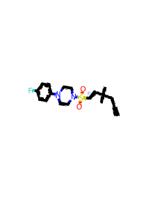 C#CCC(C)(C)/C=C/S(=O)(=O)N1CCN(c2ccc(F)cc2)CC1